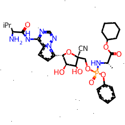 CC(C)C(N)C(=O)Nc1ncnn2c([C@@H]3O[C@](C#N)(COP(=O)(N[C@@H](C)C(=O)OC4CCCCC4)Oc4ccccc4)[C@@H](O)[C@H]3O)ccc12